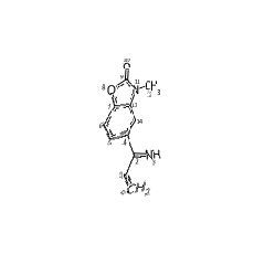 C=CC(=N)c1ccc2oc(=O)n(C)c2c1